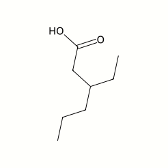 CCCC(CC)CC(=O)O